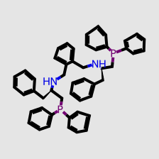 c1ccc(C[C@H](CP(c2ccccc2)c2ccccc2)NCc2ccccc2CN[C@H](Cc2ccccc2)CP(c2ccccc2)c2ccccc2)cc1